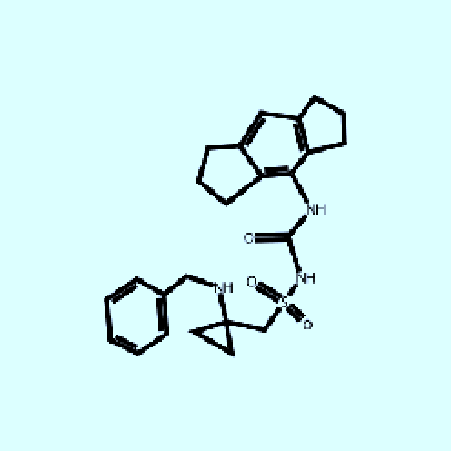 O=C(Nc1c2c(cc3c1CCC3)CCC2)NS(=O)(=O)CC1(NCc2ccccc2)CC1